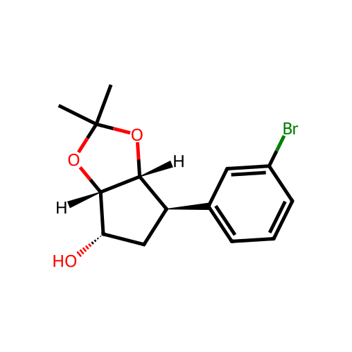 CC1(C)O[C@@H]2[C@H](O1)[C@@H](c1cccc(Br)c1)C[C@@H]2O